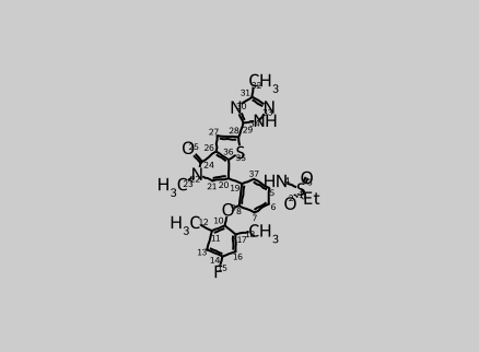 CCS(=O)(=O)Nc1ccc(Oc2c(C)cc(F)cc2C)c(-c2cn(C)c(=O)c3cc(-c4nc(C)n[nH]4)sc23)c1